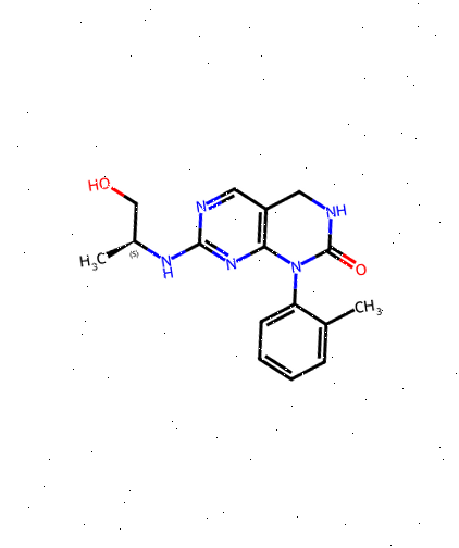 Cc1ccccc1N1C(=O)NCc2cnc(N[C@@H](C)CO)nc21